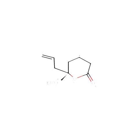 C=CC[C@]1(C(=O)OCC)CCCC(=O)O1